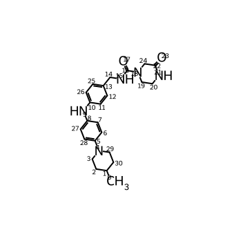 CC1CCN(c2ccc(Nc3ccc(CNC(=O)N4CCNC(=O)C4)cc3)cc2)CC1